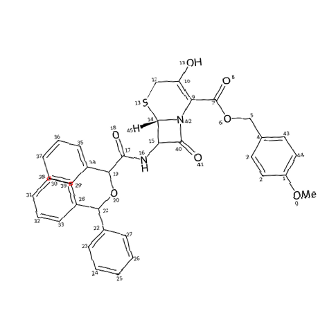 COc1ccc(COC(=O)C2=C(O)CS[C@H]3C(NC(=O)C(OC(c4ccccc4)c4ccccc4)c4ccccc4)C(=O)N23)cc1